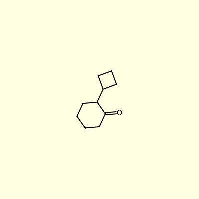 O=C1CCCCC1C1CCC1